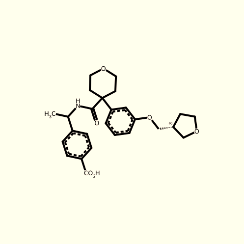 CC(NC(=O)C1(c2cccc(OC[C@@H]3CCOC3)c2)CCOCC1)c1ccc(C(=O)O)cc1